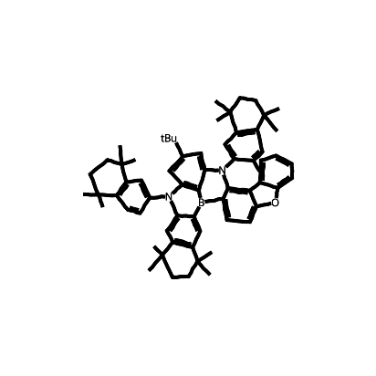 Cc1cc2c(cc1N1c3cc(C(C)(C)C)cc4c3B(c3cc5c(cc3N4c3ccc4c(c3)C(C)(C)CCC4(C)C)C(C)(C)CCC5(C)C)c3ccc4oc5ccccc5c4c31)C(C)(C)CCC2(C)C